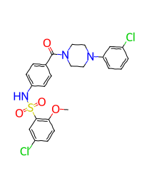 COc1ccc(Cl)cc1S(=O)(=O)Nc1ccc(C(=O)N2CCN(c3cccc(Cl)c3)CC2)cc1